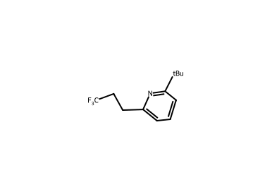 CC(C)(C)c1cccc(CCC(F)(F)F)n1